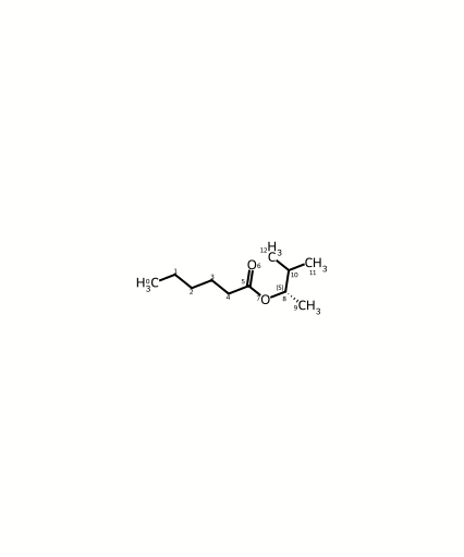 CCCCCC(=O)O[C@@H](C)C(C)C